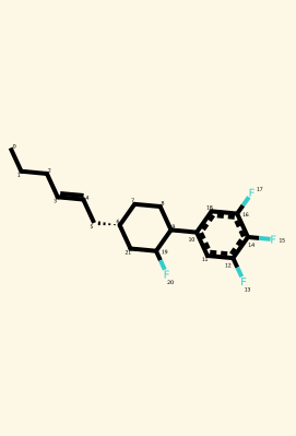 CCCC=CC[C@@H]1CC[C](c2cc(F)c(F)c(F)c2)C(F)C1